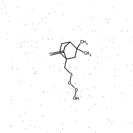 CC1(C)CC2(CSOOO)CCC1CC2=O